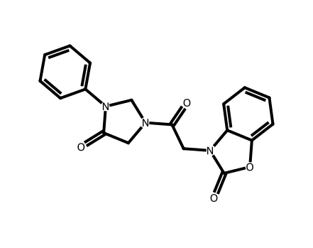 O=C(Cn1c(=O)oc2ccccc21)N1CC(=O)N(c2ccccc2)C1